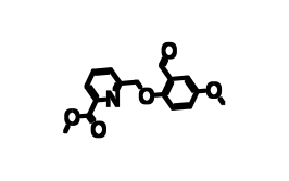 COC(=O)c1cccc(COc2ccc(OC)cc2C=O)n1